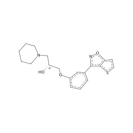 O[C@@H](COc1cccc(-c2noc3ccsc23)c1)CN1CCCCC1